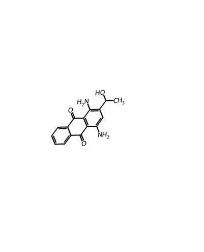 CC(O)c1cc(N)c2c(c1N)C(=O)c1ccccc1C2=O